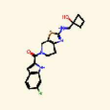 O=C(c1cc2ccc(Br)cc2[nH]1)N1CCc2nc(NCC3(O)CCC3)sc2C1